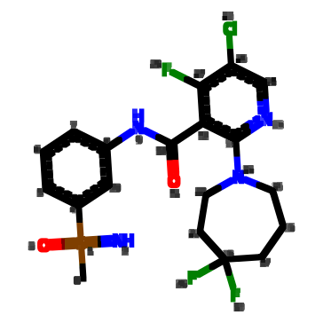 CS(=N)(=O)c1cccc(NC(=O)c2c(N3CCCC(F)(F)CC3)ncc(Cl)c2F)c1